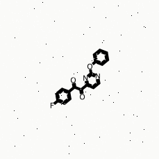 O=C(C(=O)c1ccnc(Oc2ccccc2)n1)c1ccc(F)cc1